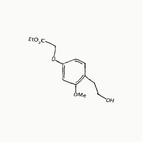 CCOC(=O)COc1ccc(CCO)c(OC)c1